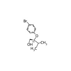 CC(C)[C@@H](CO)Oc1ccc(Br)cc1